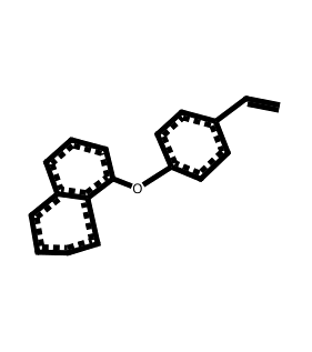 C=Cc1ccc(Oc2cccc3ccccc23)cc1